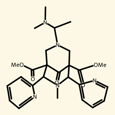 COC(=O)C12CN(C(C)N(C)C)CC(C(=O)OC)(C1=O)C(c1ccccn1)N(C)C2c1ccccn1